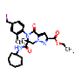 CCOC(=O)c1cc2n(n1)CC(C)(C(=O)NC1CCCCCC1)N(c1ccc(CI)cc1C)C2=O